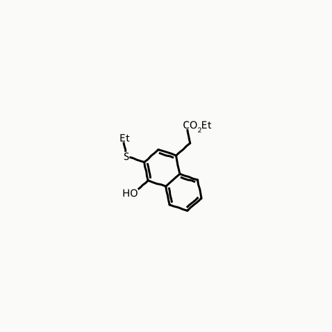 CCOC(=O)Cc1cc(SCC)c(O)c2ccccc12